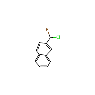 ClC(Br)c1ccc2ccccc2c1